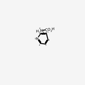 NC(=O)O.c1ccncc1